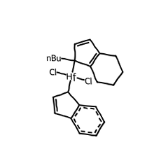 CCCC[C]1([Hf]([Cl])([Cl])[CH]2C=Cc3ccccc32)C=CC2=C1CCCC2